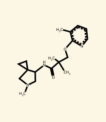 Cc1cccnc1OCC(C)(C)C(=O)NC1CN(C)CC12CC2